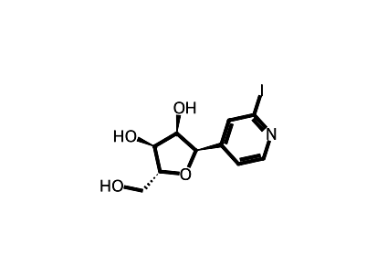 OC[C@H]1O[C@H](c2ccnc(I)c2)[C@H](O)[C@@H]1O